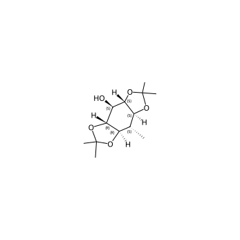 C[C@@H]1[C@H]2OC(C)(C)O[C@@H]2[C@@H](O)[C@@H]2OC(C)(C)O[C@@H]12